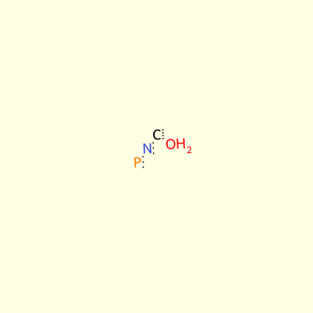 O.[C].[N].[P]